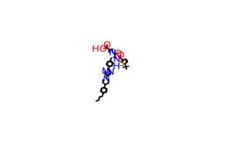 CCCCc1ccc(C2CCN(c3cnc(-c4ccc(C[C@H](NC(=O)c5ccc(C(C)(C)C)s5)C(=O)N5CC(C(=O)O)C5)cc4)nc3)CC2)cc1